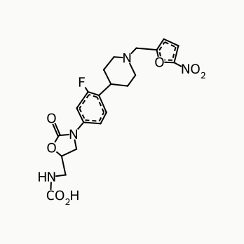 O=C(O)NCC1CN(c2ccc(C3CCN(Cc4ccc([N+](=O)[O-])o4)CC3)c(F)c2)C(=O)O1